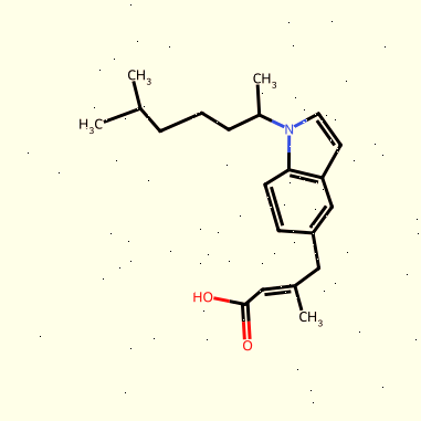 CC(=CC(=O)O)Cc1ccc2c(ccn2C(C)CCCC(C)C)c1